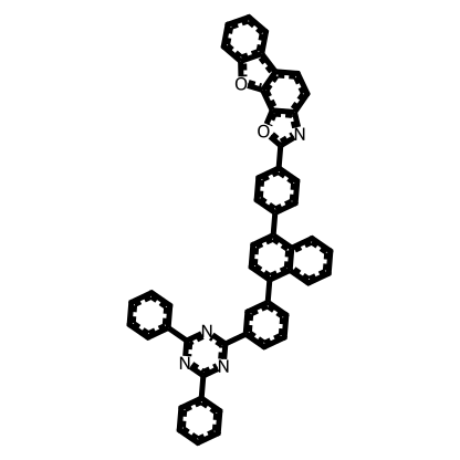 c1ccc(-c2nc(-c3ccccc3)nc(-c3cccc(-c4ccc(-c5ccc(-c6nc7ccc8c9ccccc9oc8c7o6)cc5)c5ccccc45)c3)n2)cc1